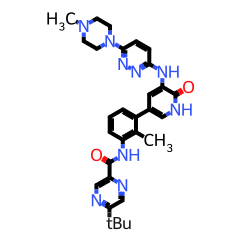 Cc1c(NC(=O)c2cnc(C(C)(C)C)cn2)cccc1-c1c[nH]c(=O)c(Nc2ccc(N3CCN(C)CC3)nn2)c1